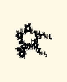 CN1C(=O)[C@H](CCCCN)NC(=O)[C@H](CCCN)NCc2ccccc2Sc2c(F)cccc2CNC(=O)[C@@H]1Cc1c[nH]c2ccccc12